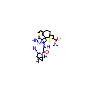 CN(C)C(=O)c1cc2c(s1)C(CCNCC(=O)N1[C@H](C#N)C[C@@H]3C[C@@H]31)(c1nn[nH]n1)c1sccc1CC2